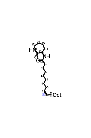 CCCCCCCC/C=C\CCCCCCCC(=O)N[C@@H]1CCCCNC1=O